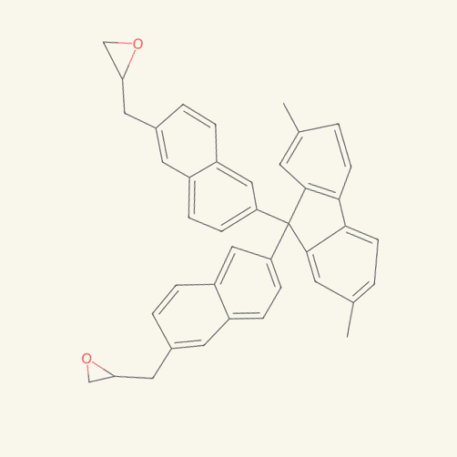 Cc1ccc2c(c1)C(c1ccc3cc(CC4CO4)ccc3c1)(c1ccc3cc(CC4CO4)ccc3c1)c1cc(C)ccc1-2